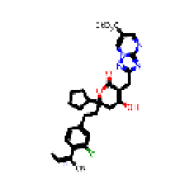 C/C=C(/C#N)c1ccc(CCC2(C3CCCC3)CC(O)=C(Cc3nc4ncc(C(=O)OCC)cn4n3)C(=O)O2)cc1Cl